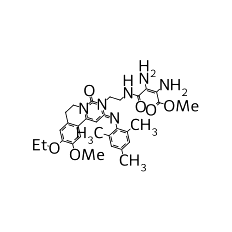 CCOc1cc2c(cc1OC)-c1c/c(=N\c3c(C)cc(C)cc3C)n(CCNC(=O)/C(N)=C(/N)C(=O)OC)c(=O)n1CC2